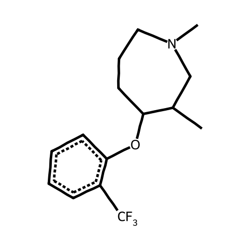 CC1CN(C)CCCC1Oc1ccccc1C(F)(F)F